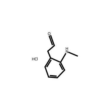 CNc1ccccc1CC=O.Cl